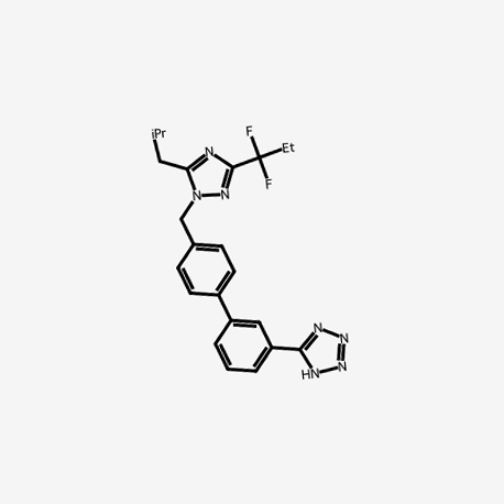 CCC(F)(F)c1nc(CC(C)C)n(Cc2ccc(-c3cccc(-c4nnn[nH]4)c3)cc2)n1